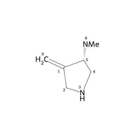 C=C1CNC[C@H]1NC